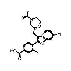 CC(=O)N1CCO[C@@H](Cc2c(-c3ccc(C(=O)O)cc3F)nc3cc(Cl)ccn23)C1